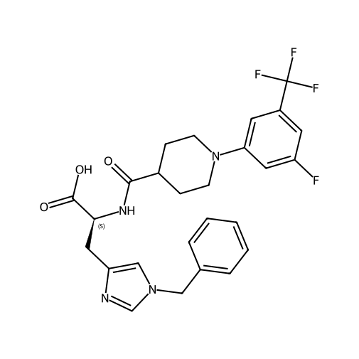 O=C(N[C@@H](Cc1cn(Cc2ccccc2)cn1)C(=O)O)C1CCN(c2cc(F)cc(C(F)(F)F)c2)CC1